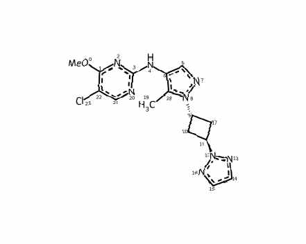 COc1nc(Nc2cnn([C@H]3C[C@H](n4nccn4)C3)c2C)ncc1Cl